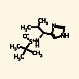 CC(C)[C@@H](N[S@+]([O-])C(C)(C)C)c1c[nH]cn1